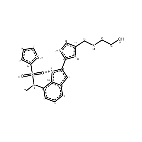 CN(c1cccc2cc(-c3ncc(CSCCO)s3)[nH]c12)S(=O)(=O)c1cccs1